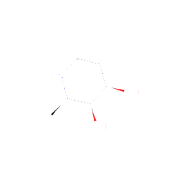 C[C@H]1NCC[C@@H](O)[C@H]1O